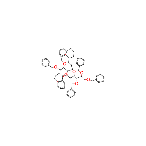 c1ccc(COC[C@@H](OCc2ccccc2)[C@H](OCc2ccccc2)[C@@H](CCC2CCCCC2)O[C@H](CCC2CCCCC2)[C@@H](OCc2ccccc2)[C@@H](COCc2ccccc2)OCc2ccccc2)cc1